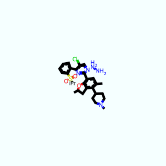 Cc1cc(-c2ncc(Cl)c(-c3ccccc3S(=O)(=O)C(C)C)n2)c2c(c1C1CCN(C)CC1)CC(C)O2.NN